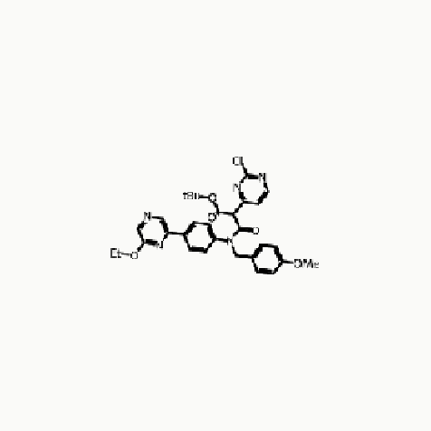 CCOc1cncc(-c2ccc(N(Cc3ccc(OC)cc3)C(=O)C(C(=O)OC(C)(C)C)c3ccnc(Cl)n3)cc2)n1